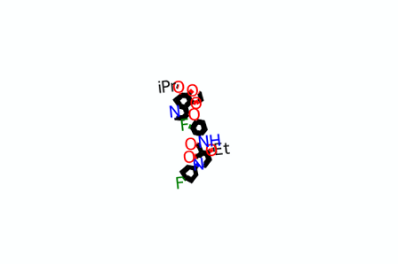 CCOc1ccn(C2C=CC(F)=CC2)c(=O)c1C(=O)Nc1ccc(Oc2ccnc3cc(OC(C)C)c4c(c23)OCCO4)c(F)c1